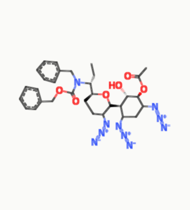 CC[C@H]([C@@H]1CCC(N=[N+]=[N-])C([C@@H]2C(N=[N+]=[N-])CC(N=[N+]=[N-])[C@H](OC(C)=O)[C@H]2O)O1)N(Cc1ccccc1)C(=O)OCc1ccccc1